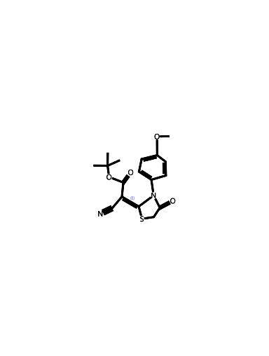 COc1ccc(N2C(=O)CS/C2=C(\C#N)C(=O)OC(C)(C)C)cc1